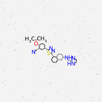 CC(C)Oc1ccc(-c2nnc(-c3cccc4c3CCC(NCc3ncc[nH]3)C4)s2)cc1C#N